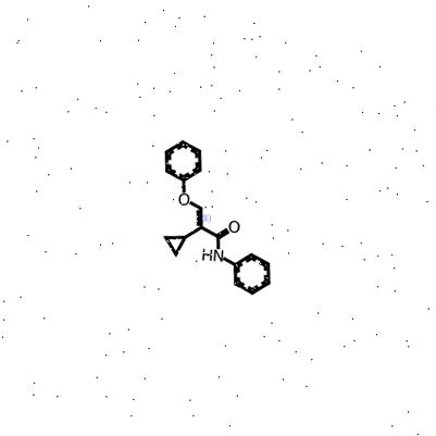 O=C(Nc1ccccc1)/C(=C/Oc1ccccc1)C1CC1